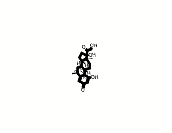 C[C@H]1C[C@@H]2[C@H](CC[C@@]3(C)[C@H]2CC[C@]3(O)C(=O)CO)[C@@]2(C)C(O)=CC(=O)C=C12